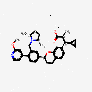 COc1cc(-c2ccc([C@@H]3CCc4ccc([C@H](C5CC5)[C@H](C)C(=O)O)cc4O3)cc2CN2[C@H](C)CC[C@@H]2C)ccn1